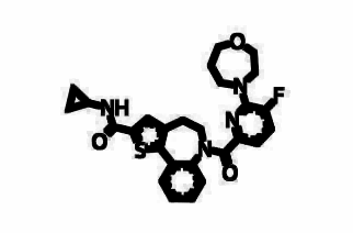 O=C(NC1CC1)c1cc2c(s1)-c1ccccc1N(C(=O)c1ccc(F)c(N3CCCOCC3)n1)CC2